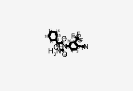 N#Cc1ccc(N(C(N)=O)C(=O)[C@H](O)C2C=CC=CC2)cc1C(F)(F)F